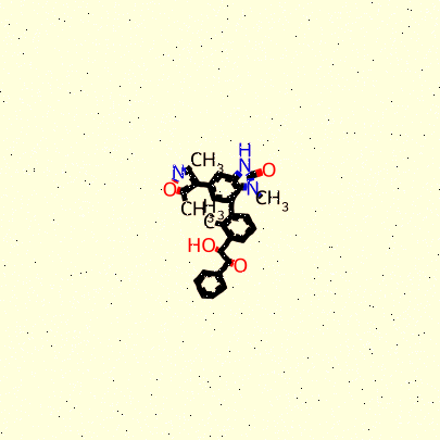 Cc1noc(C)c1-c1cc(-c2cccc(C(O)C(=O)c3ccccc3)c2C)c2c(c1)[nH]c(=O)n2C